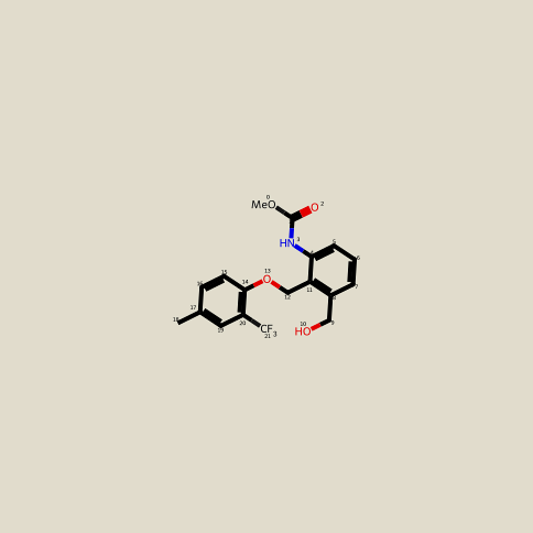 COC(=O)Nc1cccc(CO)c1COc1ccc(C)cc1C(F)(F)F